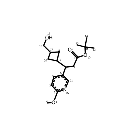 COc1ccc(C(CC(=O)OC(C)(C)C)C2CC(CO)C2)cn1